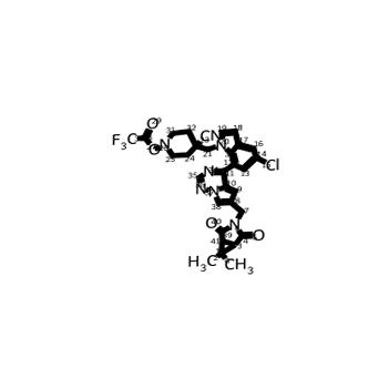 CC1(C)C2C(=O)N(Cc3cc4c(-c5cc(Cl)cc6ccn(CC7(C#N)CCN(OC(=O)C(F)(F)F)CC7)c56)ncnn4c3)C(=O)C21